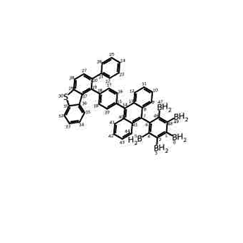 Bc1c(B)c(B)c(-c2c3ccccc3c(-c3ccc(-c4c(-c5ccccc5)ccc5sc6ccccc6c45)cc3)c3ccccc23)c(B)c1B